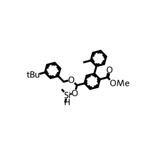 COC(=O)c1ccc(C(OCc2cccc(C(C)(C)C)c2)O[SiH](C)C)cc1-c1ccccc1C